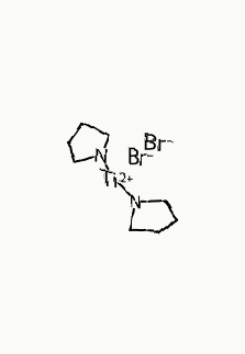 C1CC[N]([Ti+2][N]2CCCC2)C1.[Br-].[Br-]